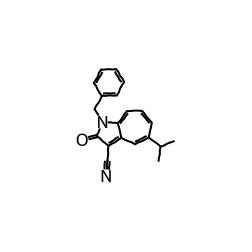 CC(C)c1cccc2n(Cc3ccccc3)c(=O)c(C#N)c-2c1